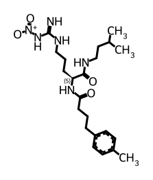 Cc1ccc(CCCC(=O)N[C@@H](CCCNC(=N)N[N+](=O)[O-])C(=O)NCCC(C)C)cc1